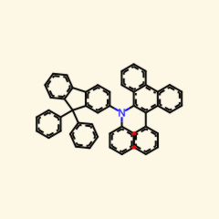 c1ccc(-c2c(N(c3ccccc3)c3ccc4c(c3)C(c3ccccc3)(c3ccccc3)c3ccccc3-4)c3ccccc3c3ccccc23)cc1